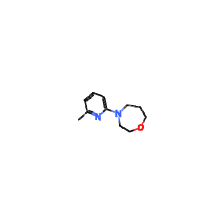 Cc1cccc(N2CCCOCC2)n1